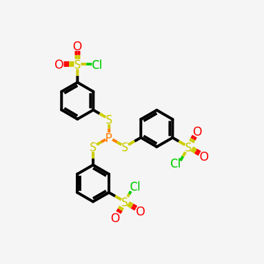 O=S(=O)(Cl)c1cccc(SP(Sc2cccc(S(=O)(=O)Cl)c2)Sc2cccc(S(=O)(=O)Cl)c2)c1